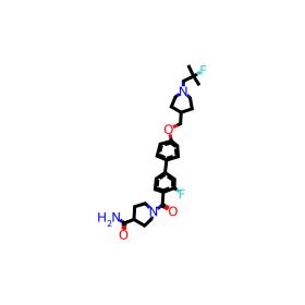 CC(C)(F)CN1CCC(COc2ccc(-c3ccc(C(=O)N4CCC(C(N)=O)CC4)c(F)c3)cc2)CC1